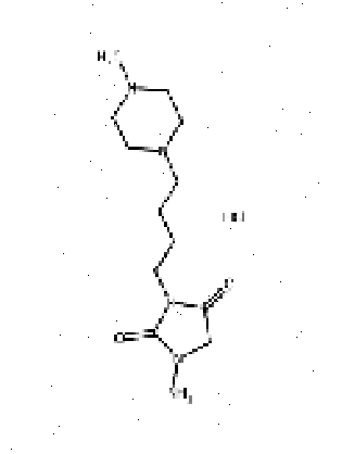 CN1CCN(CCCCN2C(=O)CN(N)C2=O)CC1.Cl